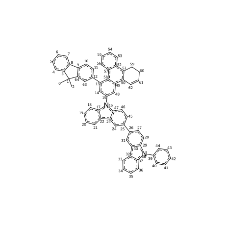 CC1(C)c2ccccc2-c2ccc(-c3cc(-n4c5ccccc5c5cc(-c6ccc7c(c6)c6ccccc6n7-c6ccccc6)ccc54)cc4c5c(c6ccccc6c34)CCC=C5)cc21